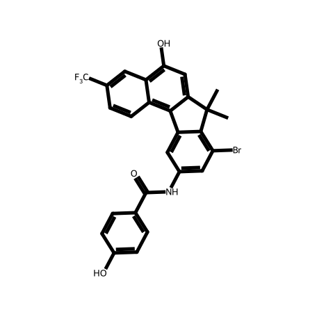 CC1(C)c2cc(O)c3cc(C(F)(F)F)ccc3c2-c2cc(NC(=O)c3ccc(O)cc3)cc(Br)c21